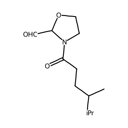 CC(C)C(C)CCC(=O)N1CCOC1C=O